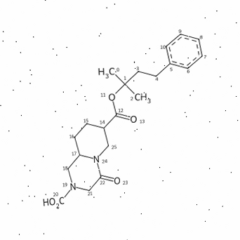 CC(C)(CCc1ccccc1)OC(=O)C1CCC2CN(C(=O)O)CC(=O)N2C1